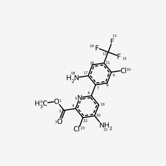 COC(=O)c1nc(-c2cc(Cl)c(C(F)(F)F)cc2N)cc(N)c1Cl